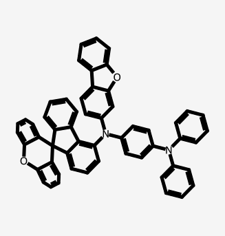 c1ccc(N(c2ccccc2)c2ccc(N(c3ccc4c(c3)oc3ccccc34)c3cccc4c3-c3ccccc3C43c4ccccc4Oc4ccccc43)cc2)cc1